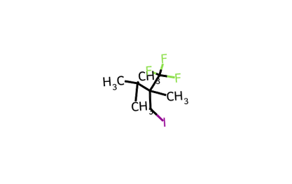 CC(C)(C)C(C)(CI)C(F)(F)F